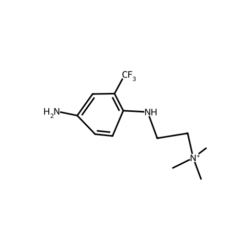 C[N+](C)(C)CCNc1ccc(N)cc1C(F)(F)F